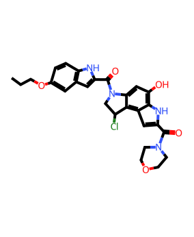 CCCOc1ccc2[nH]c(C(=O)N3CC(Cl)c4c3cc(O)c3[nH]c(C(=O)N5CCOCC5)cc43)cc2c1